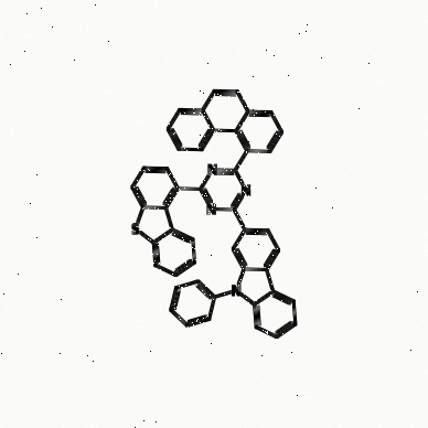 c1ccc(-n2c3ccccc3c3ccc(-c4nc(-c5cccc6ccc7ccccc7c56)nc(-c5cccc6sc7ccccc7c56)n4)cc32)cc1